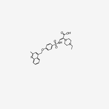 CCN1CCN(C(=CNS(=O)(=O)c2ccc(OCc3cc(C)nc4ccccc34)cc2)C(=O)O)CC1